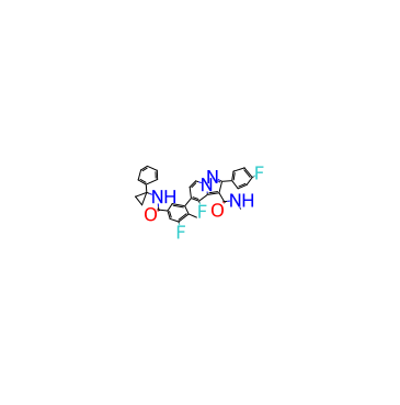 CNC(=O)c1c(-c2ccc(F)cc2)nn2ccc(-c3cc(C(=O)NC4(c5ccccc5)CC4)cc(F)c3C)c(F)c12